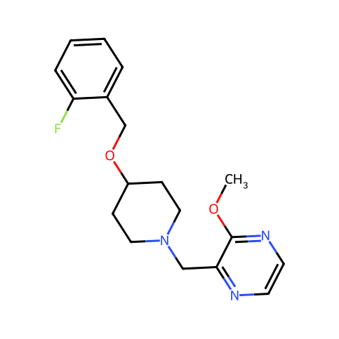 COc1nccnc1CN1CCC(OCc2ccccc2F)CC1